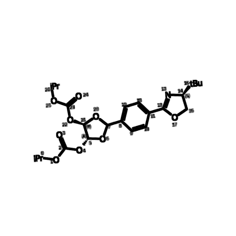 CC(C)OC(=O)O[C@H]1OC(c2ccc(C3=N[C@@H](C(C)(C)C)CO3)cc2)O[C@@H]1OC(=O)OC(C)C